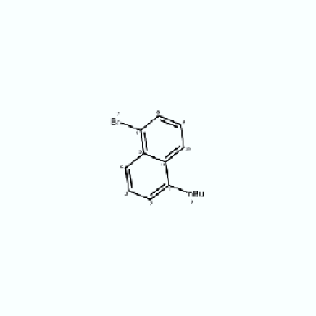 [CH2]CCCc1cccc2c(Br)cccc12